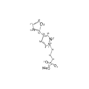 COS(=O)(=O)CCC[n+]1ccc(-c2ncco2)cn1